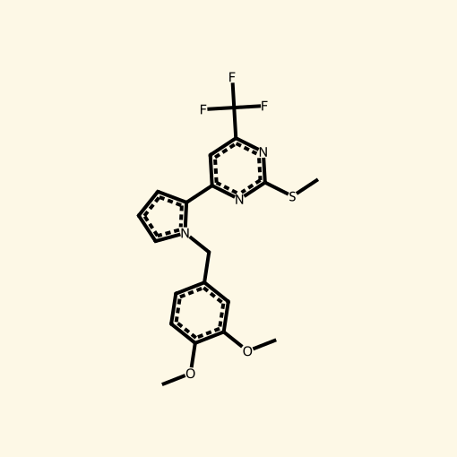 COc1ccc(Cn2cccc2-c2cc(C(F)(F)F)nc(SC)n2)cc1OC